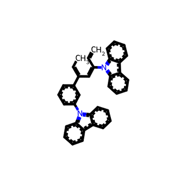 C=C/C(=C\C(=C/C)c1cccc(-n2c3ccccc3c3ccccc32)c1)n1c2ccccc2c2ccccc21